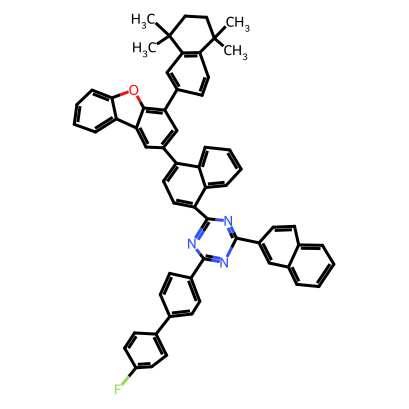 CC1(C)CCC(C)(C)c2cc(-c3cc(-c4ccc(-c5nc(-c6ccc(-c7ccc(F)cc7)cc6)nc(-c6ccc7ccccc7c6)n5)c5ccccc45)cc4c3oc3ccccc34)ccc21